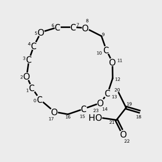 C1COCCOCCOCCOCCOCCO1.C=C(C)C(=O)O